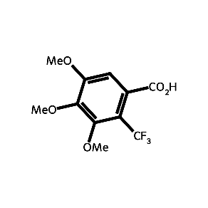 COc1cc(C(=O)O)c(C(F)(F)F)c(OC)c1OC